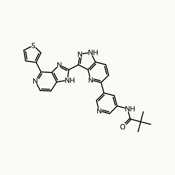 CC(C)(C)C(=O)Nc1cncc(-c2ccc3[nH]nc(-c4nc5c(-c6ccsc6)nccc5[nH]4)c3n2)c1